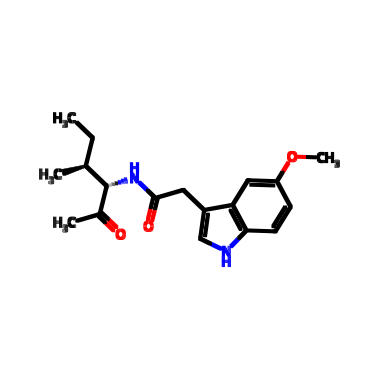 CC[C@H](C)[C@H](NC(=O)Cc1c[nH]c2ccc(OC)cc12)C(C)=O